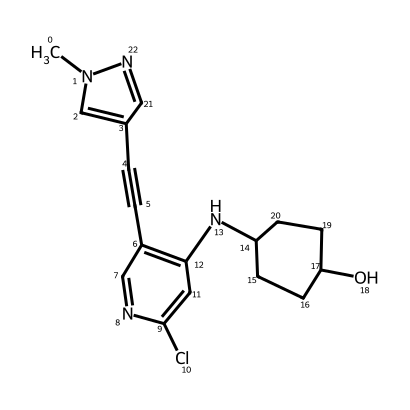 Cn1cc(C#Cc2cnc(Cl)cc2NC2CCC(O)CC2)cn1